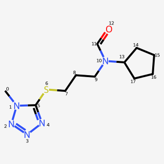 Cn1nnnc1SCCCN(C=O)C1CCCC1